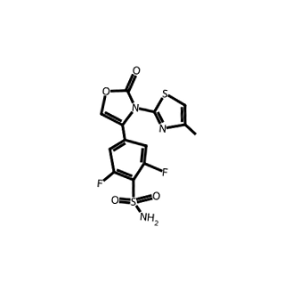 Cc1csc(-n2c(-c3cc(F)c(S(N)(=O)=O)c(F)c3)coc2=O)n1